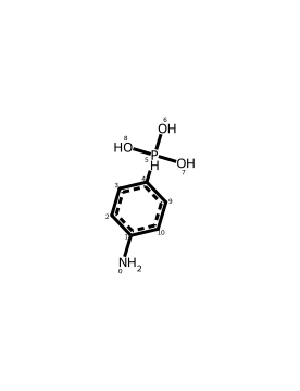 Nc1ccc([PH](O)(O)O)cc1